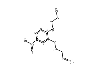 C=CCOCc1cc([N+](=O)[O-])ccc1OCCCl